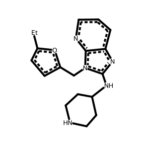 CCc1ccc(Cn2c(NC3CCNCC3)nc3cccnc32)o1